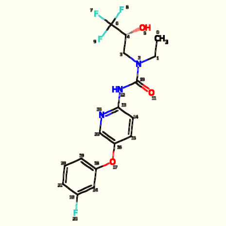 CCN(C[C@@H](O)C(F)(F)F)C(=O)Nc1ccc(Oc2cccc(F)c2)cn1